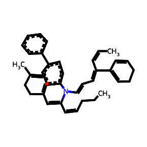 C\C=C/C(=C\C=C\N(C(/C=C\CCC)=C\C1=CC=C(C)CC1)c1ccc(-c2ccccc2)cc1)C1=CCCC=C1